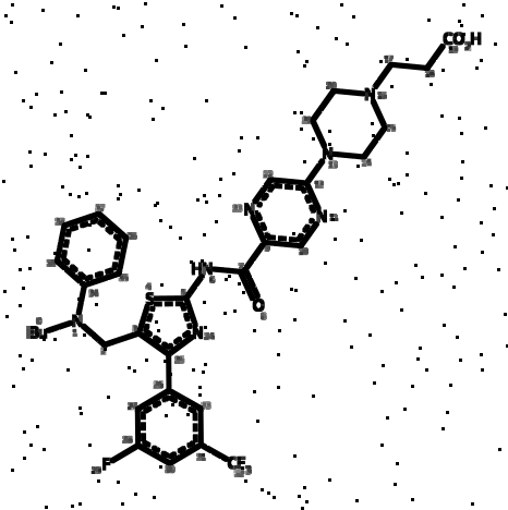 CCC(C)N(Cc1sc(NC(=O)c2cnc(N3CCN(CCC(=O)O)CC3)cn2)nc1-c1cc(F)cc(C(F)(F)F)c1)c1ccccc1